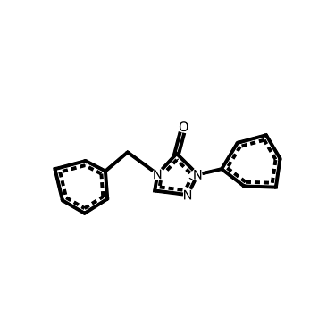 O=c1n(Cc2ccccc2)cnn1-c1ccccc1